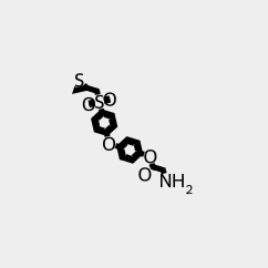 NCC(=O)Oc1ccc(Oc2ccc(S(=O)(=O)CC3CS3)cc2)cc1